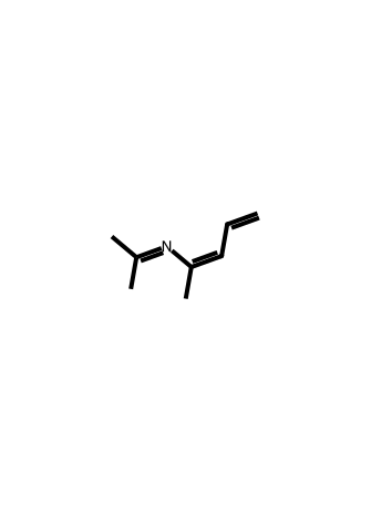 C=C/C=C(/C)N=C(C)C